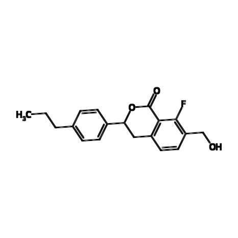 CCCc1ccc(C2Cc3ccc(CO)c(F)c3C(=O)O2)cc1